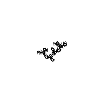 c1cncc(-c2nc(-c3cccnc3)nc(-c3cccc(-n4c5ccccc5c5cc(-c6ccc7c(c6)c6ccccc6n7-c6cccc(-c7nc(-c8cccnc8)nc(-c8cccnc8)n7)c6)ccc54)c3)n2)c1